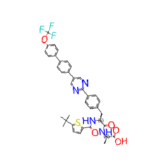 C[C@@H](NC(=O)[C@H](Cc1ccc(-c2ncc(-c3ccc(-c4ccc(OC(F)(F)F)cc4)cc3)cn2)cc1)NC(=O)c1ccc(C(C)(C)C)s1)C(=O)O